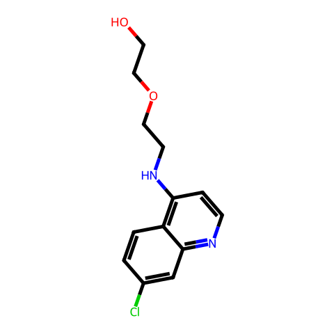 OCCOCCNc1ccnc2cc(Cl)ccc12